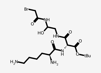 CC(C)(C)OC(=O)[C@H](NC(=O)[C@@H](N)CCCCN)C(=O)NCC(O)NC(=O)CBr